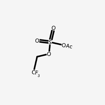 CC(=O)OS(=O)(=O)OCC(F)(F)F